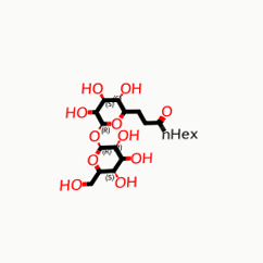 CCCCCCC(=O)CCC1O[C@H](O[C@H]2OC(CO)[C@@H](O)C(O)[C@H]2O)C(O)[C@@H](O)[C@@H]1O